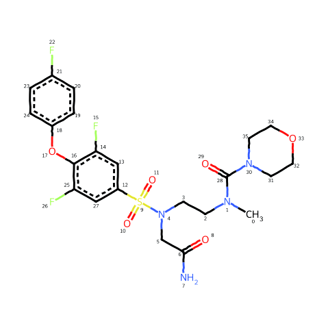 CN(CCN(CC(N)=O)S(=O)(=O)c1cc(F)c(Oc2ccc(F)cc2)c(F)c1)C(=O)N1CCOCC1